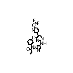 C=CC(=O)Nc1cccc(Oc2nc(Nc3cnn(C)c3)ncc2-c2ccc(OC(F)F)nc2)c1